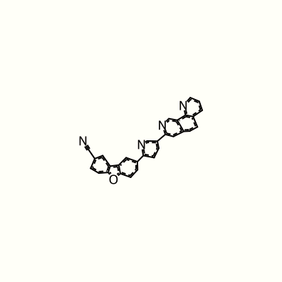 N#Cc1ccc2oc3ccc(-c4ccc(-c5cc6ccc7cccnc7c6cn5)cn4)cc3c2c1